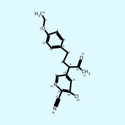 CCOc1ccc(CCC(C(C)=O)c2cnc(C#N)c(Cl)c2)cc1